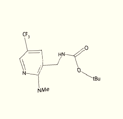 CNc1ncc(C(F)(F)F)cc1CNC(=O)OC(C)(C)C